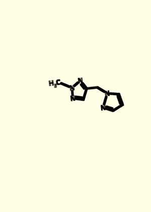 Cn1ncc(Cn2cccn2)n1